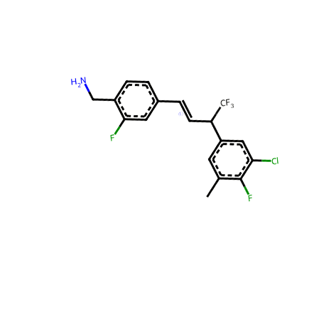 Cc1cc(C(/C=C/c2ccc(CN)c(F)c2)C(F)(F)F)cc(Cl)c1F